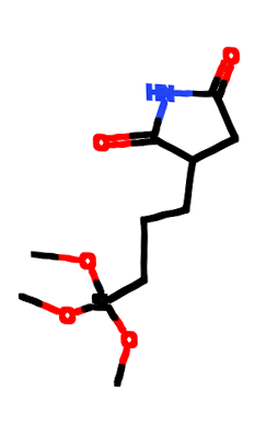 CO[Si](CCCC1CC(=O)NC1=O)(OC)OC